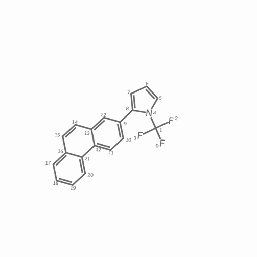 FC(F)(F)n1cccc1-c1ccc2c(ccc3ccccc32)c1